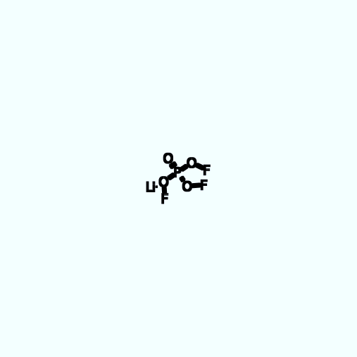 O=P(OF)(OF)OF.[Li]